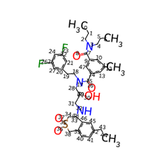 CCCN(CCC)C(=O)c1cc(C)cc(C(=O)N(CCc2cc(F)cc(F)c2)C[C@H](O)CN[C@H]2CS(=O)(=O)Cc3ccc(CC)cc32)c1